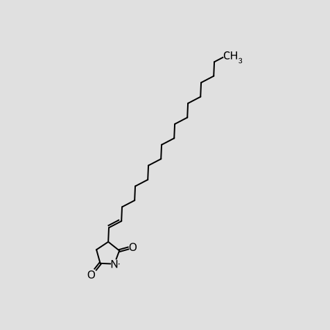 CCCCCCCCCCCCCCCCC=CC1CC(=O)[N]C1=O